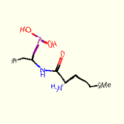 CSCC[C@H](N)C(=O)NC(C(C)C)P(O)O